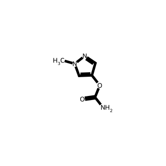 Cn1cc(OC(N)=O)cn1